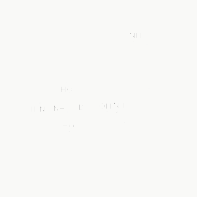 C1CCC(NC2CCCCC2)CC1.N.N.N.OB(O)O